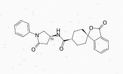 O=C1O[C@]2(CC[C@H](C(=O)N[C@H]3CC(=O)N(c4ccccc4)C3)CC2)c2ccccc21